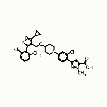 Cc1cccc(Cl)c1-c1noc(C2CC2)c1COC1CCN(c2ccc(-c3cc(C(=O)O)n(C)n3)c(Cl)c2)CC1